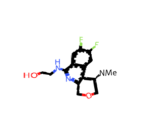 CN[C@H]1COCc2nc(NCCO)c3cc(F)c(F)cc3c21